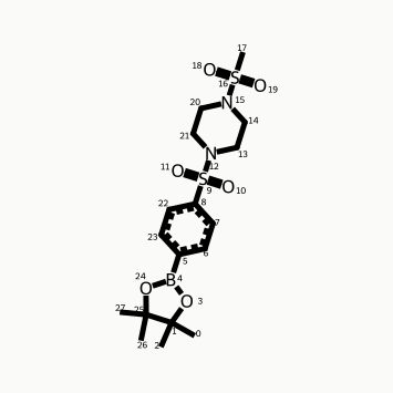 CC1(C)OB(c2ccc(S(=O)(=O)N3CCN(S(C)(=O)=O)CC3)cc2)OC1(C)C